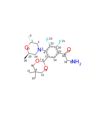 C[C@@H]1CN(c2c(C3OCC(C)(C)CO3)cc(C(=O)CN)c(F)c2F)C[C@@H](C)O1